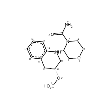 NC(=O)N1CCOCC1.O=C(O)O[C@H]1CNc2ccccc2C1